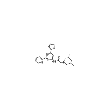 CC1CC(C)CN(CC(=O)Nc2cc(-c3nccs3)nc(-c3ccccn3)n2)C1